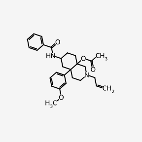 C=CCN1CCC2(c3cccc(OC)c3)CC(NC(=O)c3ccccc3)CCC2(OC(C)=O)C1